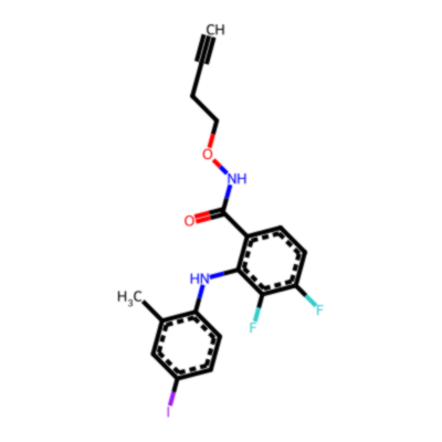 C#CCCONC(=O)c1ccc(F)c(F)c1Nc1ccc(I)cc1C